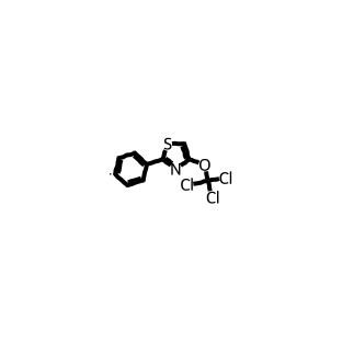 ClC(Cl)(Cl)Oc1csc(-c2cc[c]cc2)n1